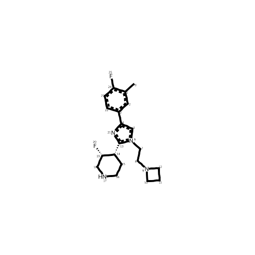 Cc1cc(-c2cn(CCN3CCC3)c([C@@H]3CCNC[C@@H]3F)n2)ccc1F